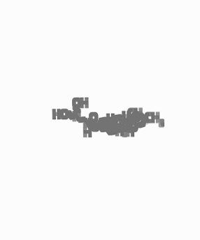 C[C@H]1CC[C@]2(OC1)O[C@H]1C[C@H]3[C@@H]4CC=C5C[C@@H](OC(=O)NCCN(CCO)CCO)CC[C@]5(C)[C@H]4CC[C@]3(C)[C@H]1[C@@H]2C